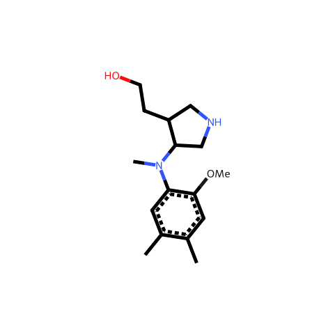 COc1cc(C)c(C)cc1N(C)C1CNCC1CCO